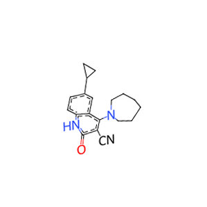 N#Cc1c(N2CCCCCC2)c2cc(C3CC3)ccc2[nH]c1=O